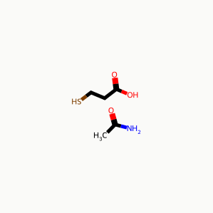 CC(N)=O.O=C(O)CCS